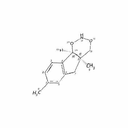 Cc1ccc2c(c1)C[C@]1(C)CONO[C@H]21